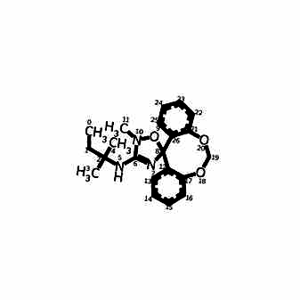 CCC(C)(C)NC1=NC2(ON1C)c1ccccc1OCOc1ccccc12